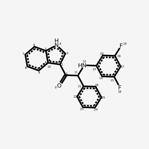 O=C(c1c[nH]c2ccccc12)C(Nc1cc(F)cc(F)c1)c1ccccc1